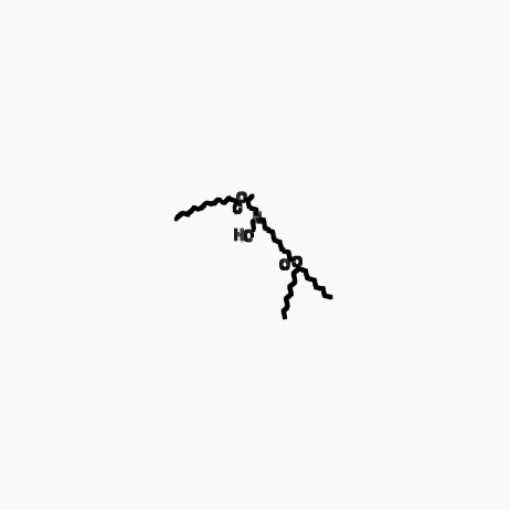 CCCCCCCCCCC(=O)OC(C)CCN(CCO)CCCCCCCC(=O)OC(CCCCCCC)CCCCCCCC